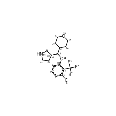 FC(F)(F)c1c(Cl)cccc1OC(C1CCOCC1)[C@H]1CCNC1